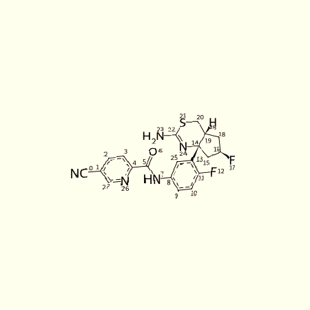 N#Cc1ccc(C(=O)Nc2ccc(F)c([C@]34C[C@H](F)C[C@H]3CSC(N)=N4)c2)nc1